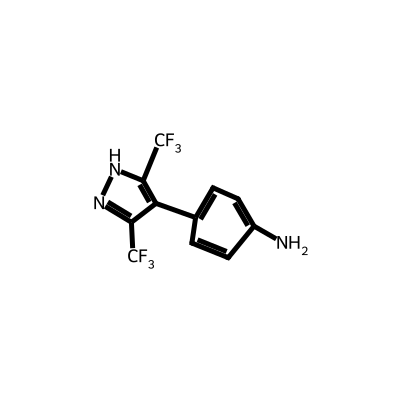 Nc1ccc(-c2c(C(F)(F)F)n[nH]c2C(F)(F)F)cc1